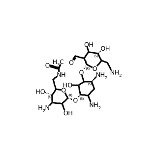 CC(=O)NCC1O[C@H](O[C@H]2C(N)C[C@H](N)C(O[C@H]3OC(CN)[C@@H](O)C(O)C3C=O)C2O)C(O)C(N)[C@@H]1O